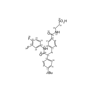 CC(C)(C)c1ccc(C(Cc2ccc(C(=O)NCCS(=O)(=O)O)cc2)C(=O)Nc2ccc(F)c(F)c2)cc1